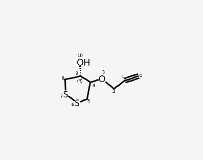 C#CCOC1CSSC[C@@H]1O